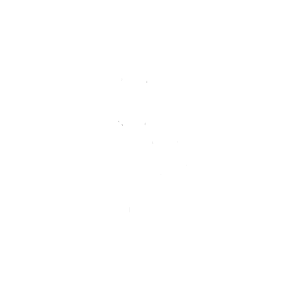 SCc1ccc(-c2ccccn2)s1